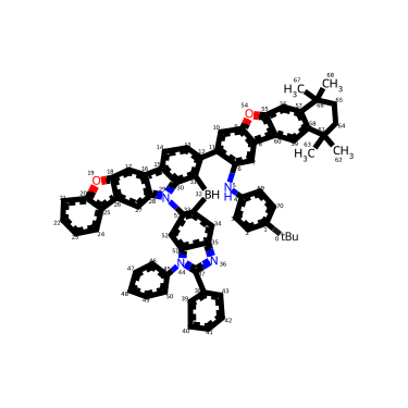 CC(C)(C)c1ccc(Nc2cc3c(cc2-c2ccc4c5cc6oc7ccccc7c6cc5n5c4c2Bc2cc4nc(-c6ccccc6)n(-c6ccccc6)c4cc2-5)oc2cc4c(cc23)C(C)(C)CCC4(C)C)cc1